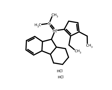 CCC1=CC[C]([Hf]([CH]2C3C=CC=CC3C3CCCCC32)=[Si](C)C)=C1CC.Cl.Cl